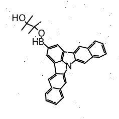 CC(C)(O)C(C)(C)OBc1cc2c3cc4ccccc4cc3n3c4cc5ccccc5cc4c(c1)c23